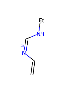 C=C/N=C\NCC